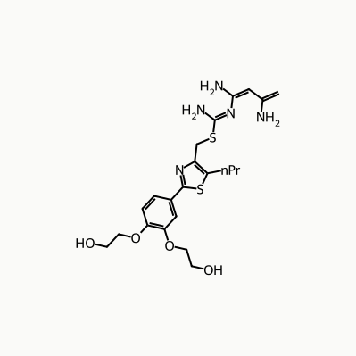 C=C(N)/C=C(N)\N=C(/N)SCc1nc(-c2ccc(OCCO)c(OCCO)c2)sc1CCC